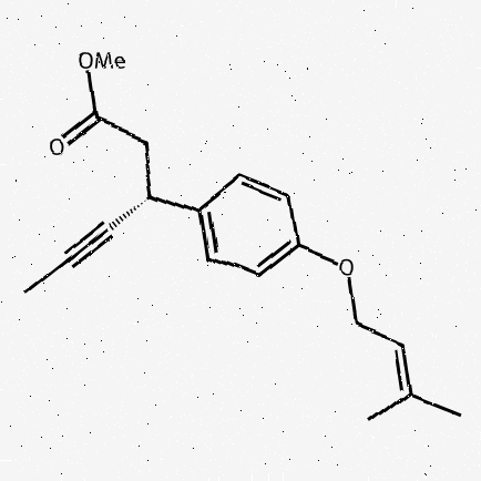 CC#C[C@H](CC(=O)OC)c1ccc(OCC=C(C)C)cc1